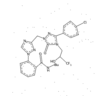 CCC(C)NC(=O)c1ccccc1-n1cnc(Cn2nc(-c3ccc(Cl)cc3)n(CC(O)C(F)(F)F)c2=O)n1